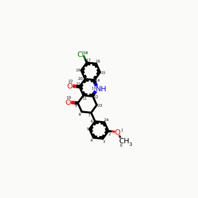 COc1cccc(C2CC(=O)c3c([nH]c4ccc(Cl)cc4c3=O)C2)c1